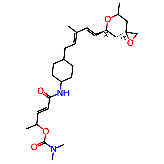 CC(C=C[C@@H]1C[C@@]2(CO2)CC(C)O1)=CCC1CCC(NC(=O)C=CC(C)OC(=O)N(C)C)CC1